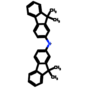 CC1(C)c2ccccc2-c2ccc([N]c3ccc4c(c3)C(C)(C)c3ccccc3-4)cc21